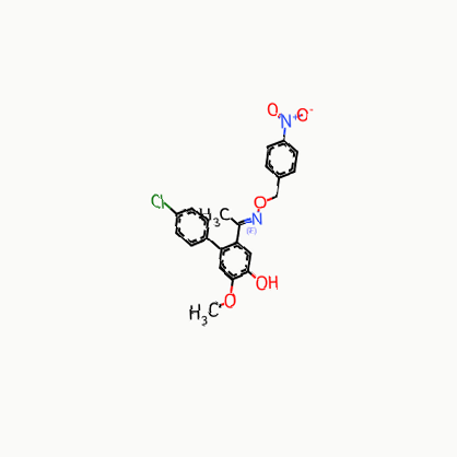 COc1cc(-c2ccc(Cl)cc2)c(/C(C)=N/OCc2ccc([N+](=O)[O-])cc2)cc1O